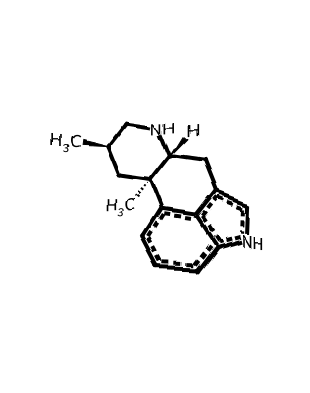 C[C@H]1CN[C@@H]2Cc3c[nH]c4cccc(c34)[C@@]2(C)C1